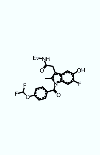 CCNC(=O)Cc1c(C)n(C(=O)c2ccc(OC(F)F)cc2)c2cc(F)c(O)cc12